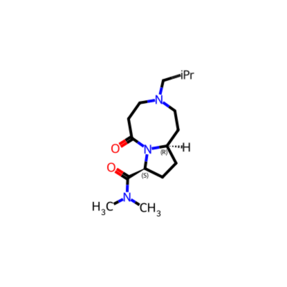 CC(C)CN1CCC(=O)N2[C@H](CC[C@H]2C(=O)N(C)C)CC1